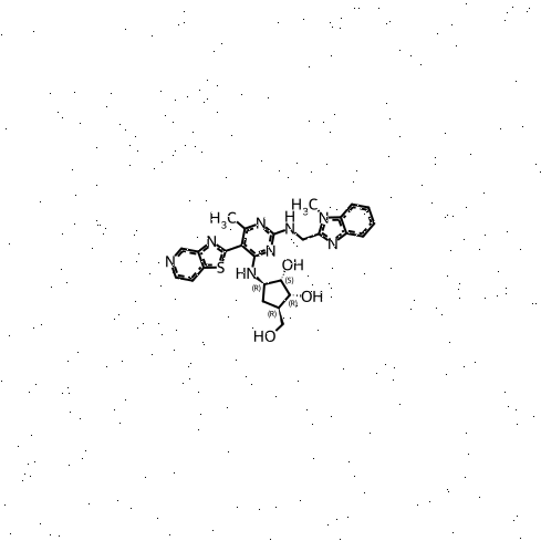 Cc1nc(NCc2nc3ccccc3n2C)nc(N[C@@H]2C[C@H](CO)[C@@H](O)[C@H]2O)c1-c1nc2cnccc2s1